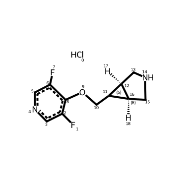 Cl.Fc1cncc(F)c1OCC1[C@H]2CNC[C@@H]12